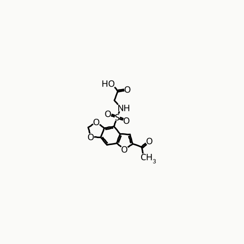 CC(=O)c1cc2c(S(=O)(=O)NCC(=O)O)c3c(cc2o1)OCO3